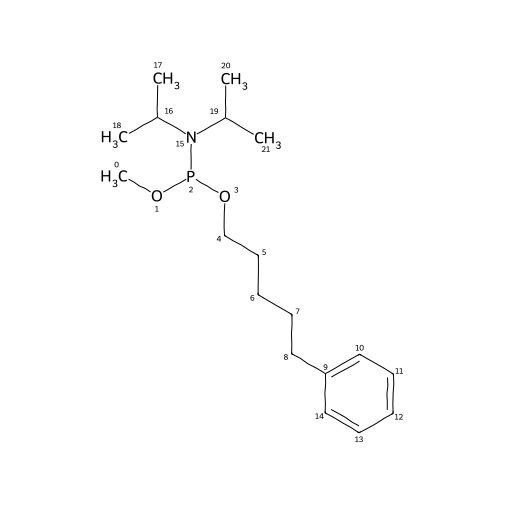 COP(OCCCCCc1ccccc1)N(C(C)C)C(C)C